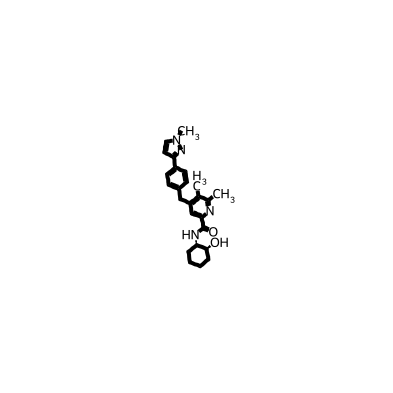 Cc1nc(C(=O)N[C@H]2CCCC[C@@H]2O)cc(Cc2ccc(-c3ccn(C)n3)cc2)c1C